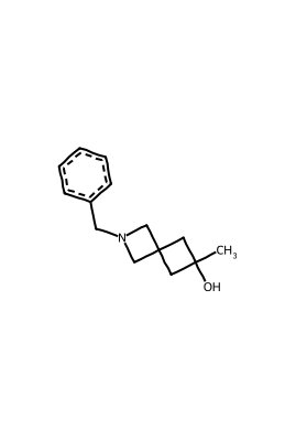 CC1(O)CC2(CN(Cc3ccccc3)C2)C1